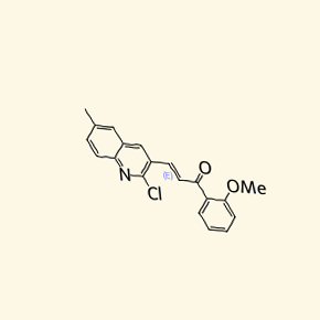 COc1ccccc1C(=O)/C=C/c1cc2cc(C)ccc2nc1Cl